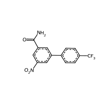 NC(=O)c1cc(-c2ccc(C(F)(F)F)cc2)cc([N+](=O)[O-])c1